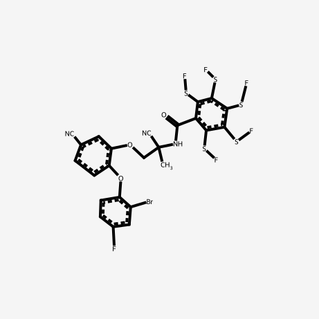 CC(C#N)(COc1cc(C#N)ccc1Oc1ccc(F)cc1Br)NC(=O)c1c(SF)c(SF)c(SF)c(SF)c1SF